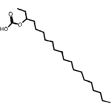 CCCCCCCCCCCCCCCCCC(CC)OC(=O)O